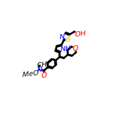 CON(C)C(=O)c1ccc(C(CC2CCOCC2)c2ccc(-c3ncc(CO)s3)[nH]2)cc1